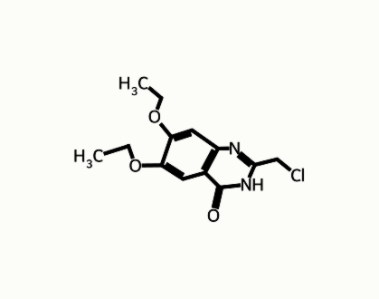 CCOc1cc2nc(CCl)[nH]c(=O)c2cc1OCC